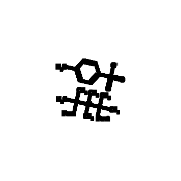 CCCC(C)C(C)(C)[P+](C)(C)C(C)(C)C(C)CCC.Cc1ccc(S(=O)(=O)[O-])cc1